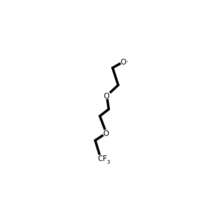 [O]CCOCCOCC(F)(F)F